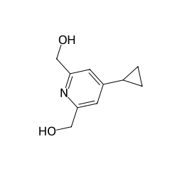 OCc1cc(C2CC2)cc(CO)n1